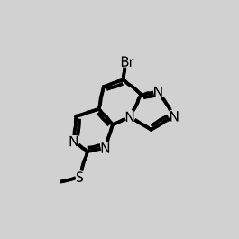 CSc1ncc2cc(Br)c3nncn3c2n1